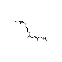 CCCCCCCCCCCCC(C)C/C=C(\C)CN